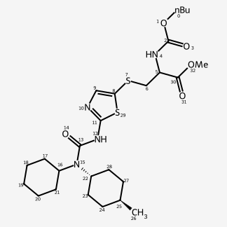 CCCCOC(=O)NC(CSc1cnc(NC(=O)N(C2CCCCC2)[C@H]2CC[C@H](C)CC2)s1)C(=O)OC